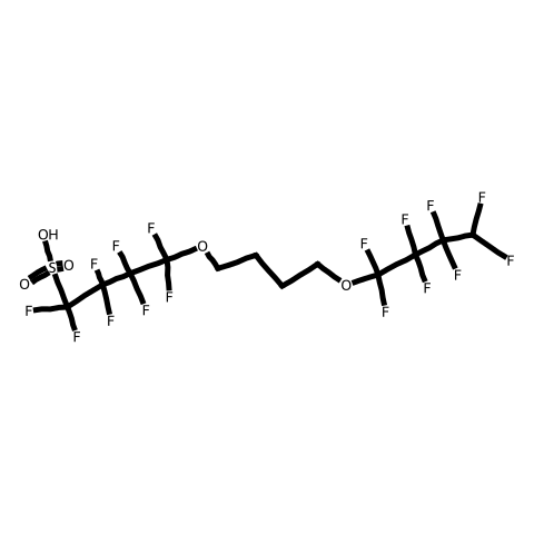 O=S(=O)(O)C(F)(F)C(F)(F)C(F)(F)C(F)(F)OCCCCOC(F)(F)C(F)(F)C(F)(F)C(F)F